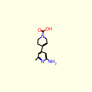 Cc1cc(C2=CCN(C(=O)O)CC2)cc(N)n1